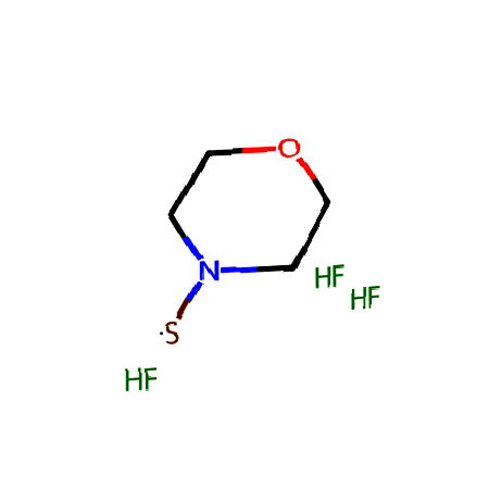 F.F.F.[S]N1CCOCC1